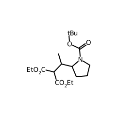 CCOC(=O)C(C(=O)OCC)C(C)C1CCCN1C(=O)OC(C)(C)C